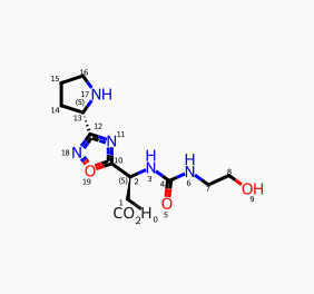 O=C(O)C[C@H](NC(=O)NCCO)c1nc([C@@H]2CCCN2)no1